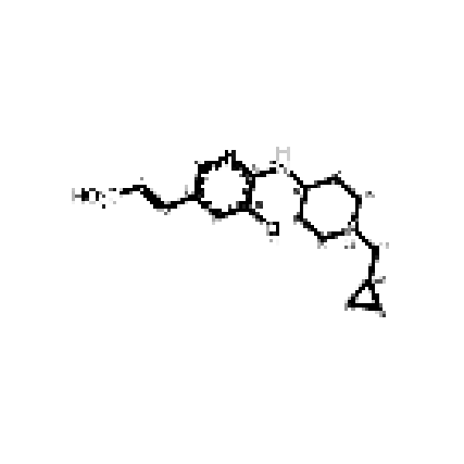 O=C(O)/C=C/c1cnc(NC2CCN(CC3CC3)CC2)c(Cl)c1